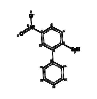 O=[N+]([O-])c1ccc([SeH])c(-c2ccccc2)c1